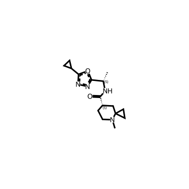 C[C@H](NC(=O)[C@H]1CCN(C)C2(CC2)C1)c1nnc(C2CC2)o1